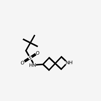 CC(C)(C)CS(=O)(=O)NC1CC2(CNC2)C1